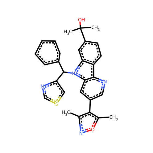 Cc1noc(C)c1-c1cnc2c3ccc(C(C)(C)O)cc3n(C(c3ccccc3)c3cscn3)c2c1